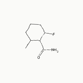 CC1CCCC(F)C1C(N)=O